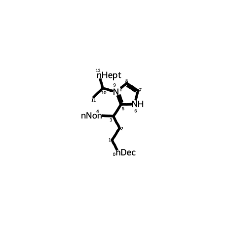 CCCCCCCCCCCCC(CCCCCCCCC)c1[nH]cc[n+]1C(C)CCCCCCC